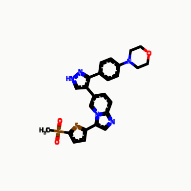 CS(=O)(=O)c1ccc(-c2cnc3ccc(-c4c[nH]nc4-c4ccc(N5CCOCC5)cc4)cn23)s1